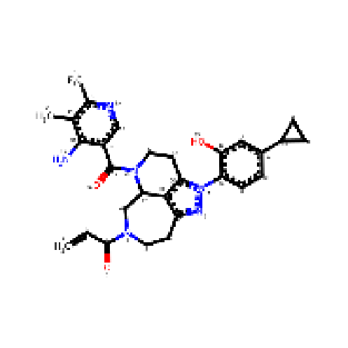 C=CC(=O)N1CCc2nn(-c3ccc(C4CC4)cc3O)c3c2C(C1)N(C(=O)c1cnc(C(F)(F)F)c(C)c1N)CC3